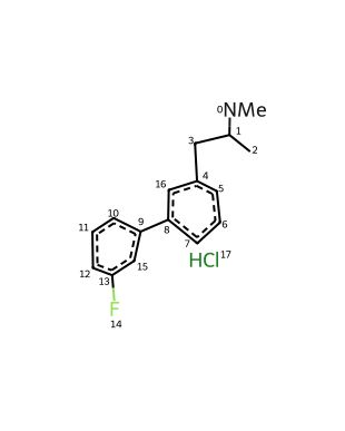 CNC(C)Cc1cccc(-c2cccc(F)c2)c1.Cl